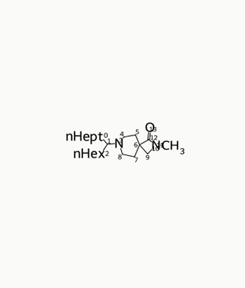 CCCCCCCC(CCCCCC)N1CCC2(CC1)CN(C)C2=O